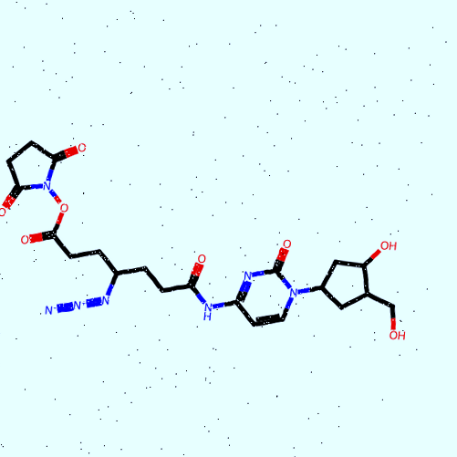 [N-]=[N+]=NC(CCC(=O)Nc1ccn(C2CC(O)C(CO)C2)c(=O)n1)CCC(=O)ON1C(=O)CCC1=O